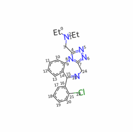 CCN(CC)Cc1nnc2n1-c1ccccc1C(c1ccccc1Cl)=NC2